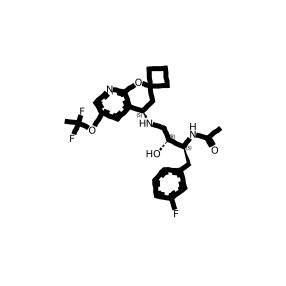 CC(=O)N[C@@H](Cc1cccc(F)c1)[C@H](O)CN[C@H]1CC2(CCC2)Oc2ncc(OC(C)(F)F)cc21